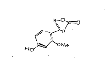 COc1cc(O)ccc1-c1noc(=O)o1